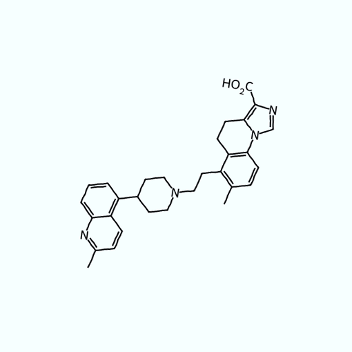 Cc1ccc2c(C3CCN(CCc4c(C)ccc5c4CCc4c(C(=O)O)ncn4-5)CC3)cccc2n1